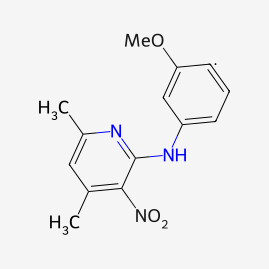 COc1[c]ccc(Nc2nc(C)cc(C)c2[N+](=O)[O-])c1